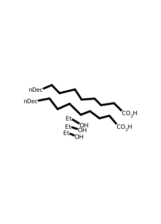 CCCCCCCCCCCCCCCCCC(=O)O.CCCCCCCCCCCCCCCCCC(=O)O.CCO.CCO.CCO